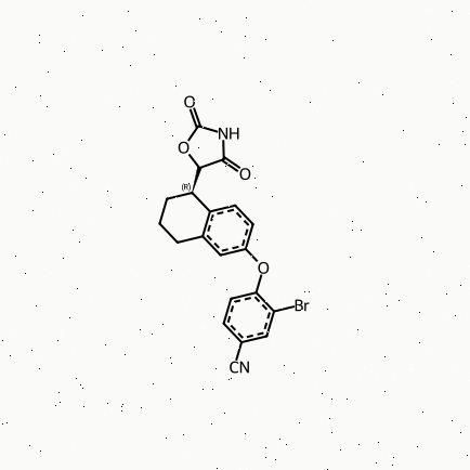 N#Cc1ccc(Oc2ccc3c(c2)CCC[C@H]3C2OC(=O)NC2=O)c(Br)c1